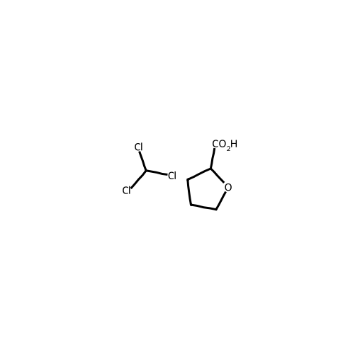 ClC(Cl)Cl.O=C(O)C1CCCO1